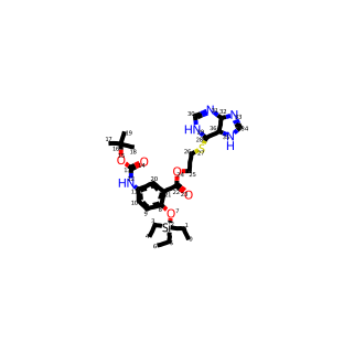 CC[Si](CC)(CC)Oc1ccc(NC(=O)OC(C)(C)C)cc1C(=O)OCCSC1NC=NC2N=CNC21